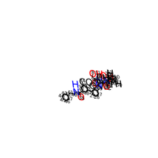 COc1c(CN2O[C@@H](CO)[C@H]([C@H](C)O)[C@H]2C(=O)N[C@H]2C[C@H]3C[C@@H]([C@@H]2C)C3(C)C)cccc1-c1cc(C(=O)O)cc(C(=O)NCCc2ccccc2)c1